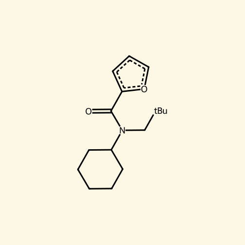 CC(C)(C)CN(C(=O)c1ccco1)C1CCCCC1